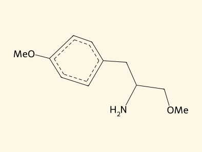 COCC(N)Cc1ccc(OC)cc1